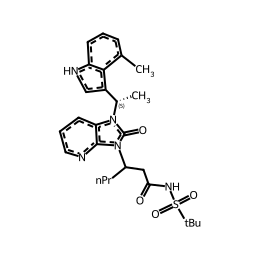 CCCC(CC(=O)NS(=O)(=O)C(C)(C)C)n1c(=O)n([C@@H](C)c2c[nH]c3cccc(C)c23)c2cccnc21